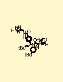 CC(C)(C)CC[C@H](c1ccc(C(=O)NCc2nn[nH]n2)cc1)N1C(=O)C(N2C[C@H]3C[C@@H]2CO3)=NC12CCC(C(C)(C)C)CC2